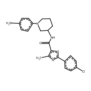 Cc1nc(-c2ccc(Cl)cc2)sc1C(=O)NC1CCCN(c2ccc(N)cc2)C1